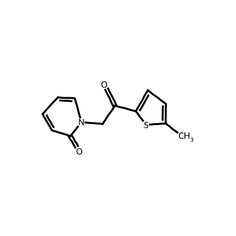 Cc1ccc(C(=O)Cn2ccccc2=O)s1